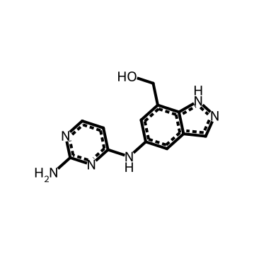 Nc1nccc(Nc2cc(CO)c3[nH]ncc3c2)n1